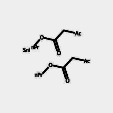 CCCOC(=O)CC(C)=O.CCCOC(=O)CC(C)=O.[Sn]